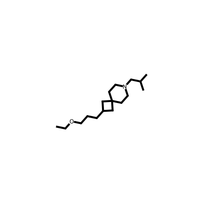 CCOCCCC1CC2(CCN(CC(C)C)CC2)C1